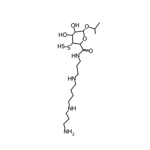 CC(C)OC1OC(C(=O)NCCCNCCCCNCCCN)C(SS)C(O)C1O